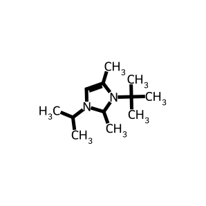 CC1=CN(C(C)C)C(C)N1C(C)(C)C